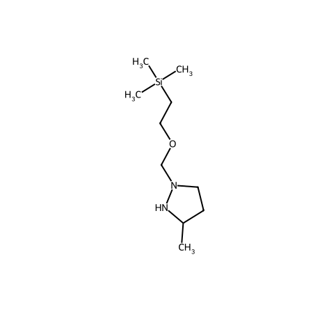 CC1CCN(COCC[Si](C)(C)C)N1